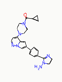 NN1CCN=C1c1ccc(-c2cc3c(N4CCN(C(=O)C5CC5)CC4)ccnn3c2)cc1